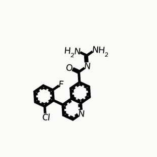 NC(N)=NC(=O)c1ccc2nccc(-c3c(F)cccc3Cl)c2c1